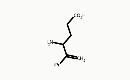 C=C(C(C)C)C(N)CCC(=O)O